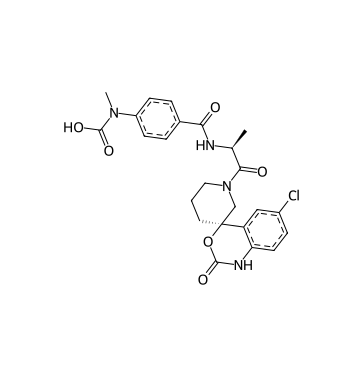 C[C@H](NC(=O)c1ccc(N(C)C(=O)O)cc1)C(=O)N1CCC[C@@]2(C1)OC(=O)Nc1ccc(Cl)cc12